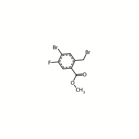 COC(=O)c1cc(F)c(Br)cc1CBr